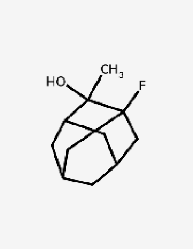 CC1(O)C2CC3CC(C2)CC1(F)C3